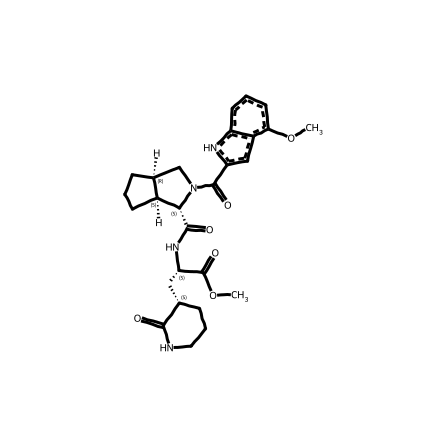 COC(=O)[C@H](C[C@@H]1CCCNC1=O)NC(=O)[C@@H]1[C@H]2CCC[C@H]2CN1C(=O)c1cc2c(OC)cccc2[nH]1